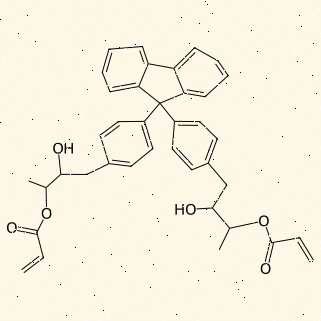 C=CC(=O)OC(C)C(O)Cc1ccc(C2(c3ccc(CC(O)C(C)OC(=O)C=C)cc3)c3ccccc3-c3ccccc32)cc1